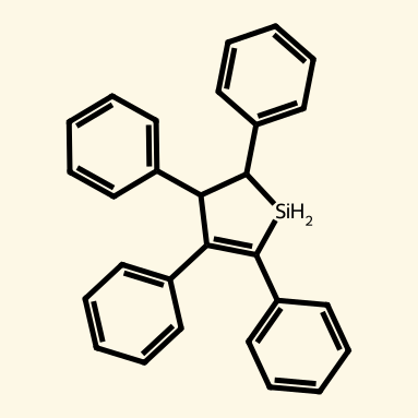 c1ccc(C2=C(c3ccccc3)C(c3ccccc3)C(c3ccccc3)[SiH2]2)cc1